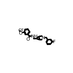 O=C(NCC1C2CN(Cc3cccc(F)c3)CC12)c1cccc(OC(F)(F)F)c1